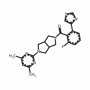 Cc1cc(C)nc(N2CC3CN(C(=O)c4c(F)cccc4-c4cscn4)CC3C2)n1